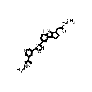 CCOC(=O)CC1CCc2c1[nH]c1ccc(-c3noc(-c4cncc(-c5cnn(C)c5)c4)n3)cc21